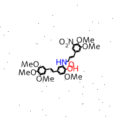 COc1cc(/C=C/c2cc(OC)c(OC)c(OC)c2)cc(NC(=O)/C=C/c2cc(OC)c(OC)c([N+](=O)[O-])c2)c1O